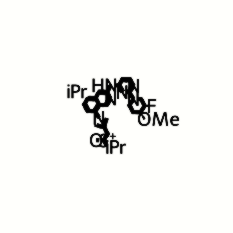 CO[C@H]1CCN(c2nccc(Nc3cc4c(C(C)C)ccc(N5CC(C[S+]([O-])C(C)C)C5)c4cn3)n2)C[C@H]1F